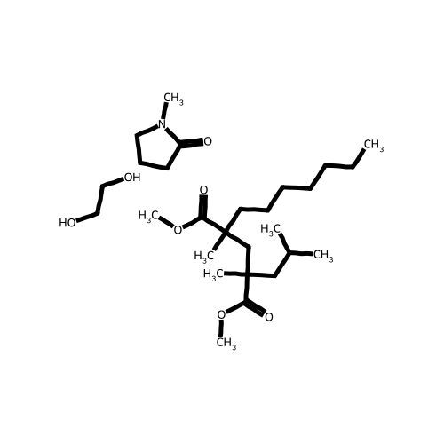 CCCCCCCC(C)(CC(C)(CC(C)C)C(=O)OC)C(=O)OC.CN1CCCC1=O.OCCO